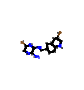 Nc1ncc(Br)nc1NCc1ccc2ncc(Br)cc2c1